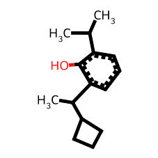 CC(C)c1cccc(C(C)C2CCC2)c1O